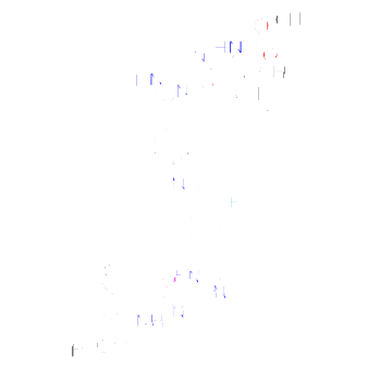 COC(=O)N[C@H](C(=O)N1CCC[C@H]1c1nc(-c2ccc3nc(-c4ccc(-c5cnc([C@@H]6CCCN6C(=O)[C@H](NC(=O)OC)c6ccccc6)[nH]5)cc4F)ccc3c2)c[nH]1)C(C)C